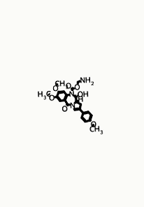 COc1ccc(C2=CN3C(=O)c4cc(OC)c(OC)cc4N(C(=O)OCN)[C@@H](O)[C@@H]3C2)cc1